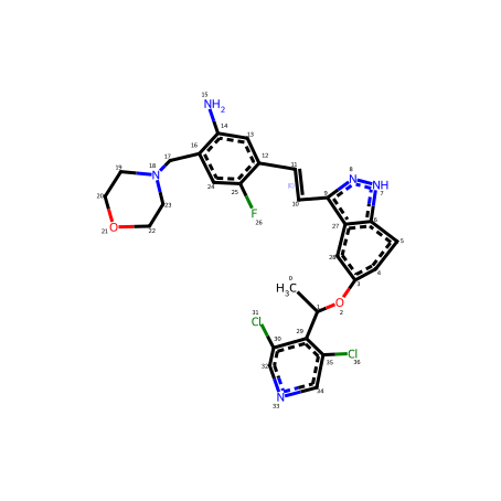 CC(Oc1ccc2[nH]nc(/C=C/c3cc(N)c(CN4CCOCC4)cc3F)c2c1)c1c(Cl)cncc1Cl